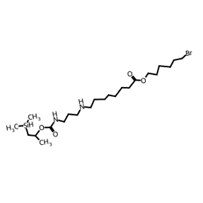 CC(C[SiH](C)C)OC(=O)NCCCNCCCCCCCC(=O)OCCCCCCBr